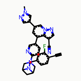 C#Cc1ccc(CN2C3CC2CN(c2ccc(-c4cc(-c5cnn(C)c5)cn5ncc(C#N)c45)cn2)C3)cc1F